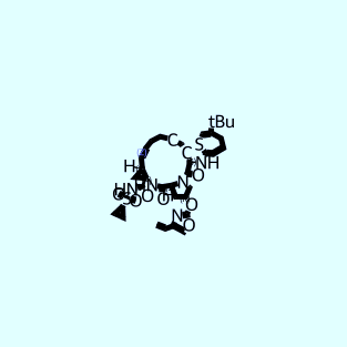 C=Cc1coc(O[C@@H]2C[C@H]3C(=O)N[C@]4(C(=O)NS(=O)(=O)C5CC5)C[C@H]4/C=C\CCCCC[C@H](NC4=C=CCC(C(C)(C)C)=CS4)C(=O)N3C2)n1